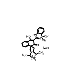 CC(C)CCC1(CCC(C)C)C(=O)C(C2=NS(O)(O)c3ccccc3N2)=C(O)c2ccccc21.[NaH]